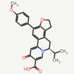 COc1ccc(-c2cc3c(c4c2OCC4)C[C@@H](C(C)C)n2cc(C(=O)O)c(=O)cc2-3)cc1